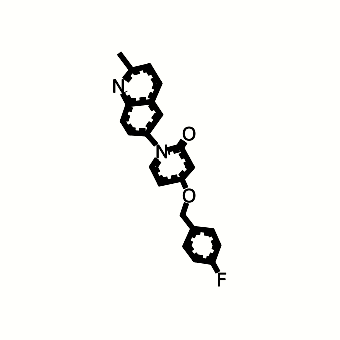 Cc1ccc2cc(-n3ccc(OCc4ccc(F)cc4)cc3=O)ccc2n1